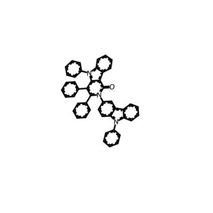 O=c1c2c3ccccc3n(-c3ccccc3)c2c(-c2ccccc2)c(-c2ccccc2)n1-c1ccc2c(c1)c1ccccc1n2-c1ccccc1